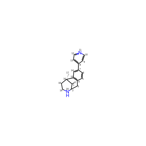 CC1C2Cc3ccc(-c4ccncc4)cc3[C@]1(C)CCN2